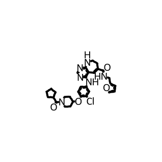 O=C(NCc1ccco1)C1=Cc2c(ncnc2Nc2ccc(OC3CCN(C(=O)C4CCCC4)CC3)c(Cl)c2)NCC1